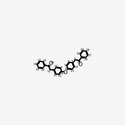 O=C(Cc1ccc(Oc2ccc(CC(=O)c3ccccc3)cc2)cc1)c1ccccc1